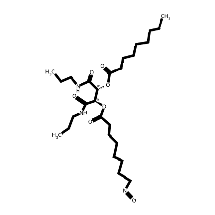 CCCCCCCCC(=O)O[C@@H](C(=O)NCCC)[C@@H](OC(=O)CCCCCCCN=O)C(=O)NCCC